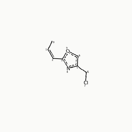 C/C=C\c1nc(CCl)co1